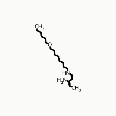 C/C=C(N)\C=C/NCCCCCCCCOCCCCCC